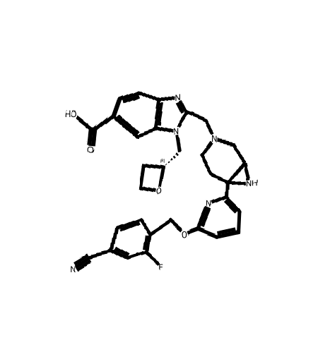 N#Cc1ccc(COc2cccc(C34CCN(Cc5nc6ccc(C(=O)O)cc6n5C[C@H]5CCO5)CC3N4)n2)c(F)c1